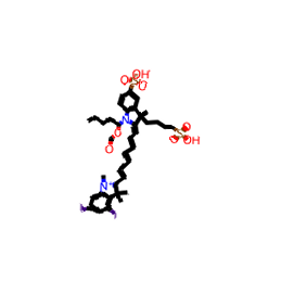 CCCCC(OC=O)N1\C(=C/C=C/C=C/C=C/C2=[N+](C)c3cc(I)cc(I)c3C2(C)C)C(C)(CCCCS(=O)(=O)O)c2cc(S(=O)(=O)O)ccc21